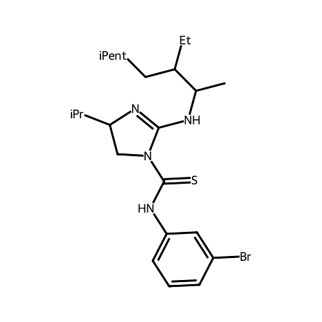 CCCC(C)CC(CC)C(C)NC1=NC(C(C)C)CN1C(=S)Nc1cccc(Br)c1